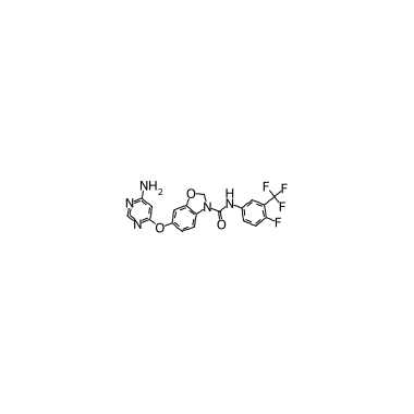 Nc1cc(Oc2ccc3c(c2)OCN3C(=O)Nc2ccc(F)c(C(F)(F)F)c2)ncn1